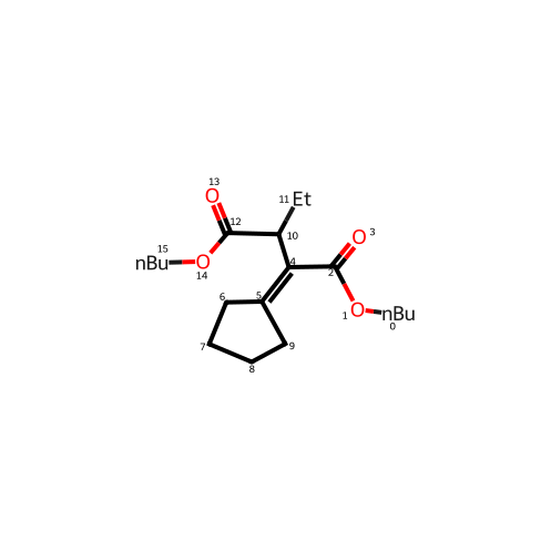 CCCCOC(=O)C(=C1CCCC1)C(CC)C(=O)OCCCC